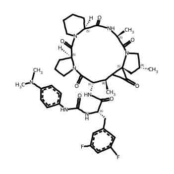 C[C@H]1CN2C(=O)[C@H](C)NC(=O)[C@@H]3CCCCN3C(=O)[C@@H]3CCCN3C(=O)[C@@H](NC(=O)[C@H](Cc3cc(F)cc(F)c3)NC(=O)Nc3ccc(N(C)C)cc3)[C@H](C)C3C(=O)[C@]32C1